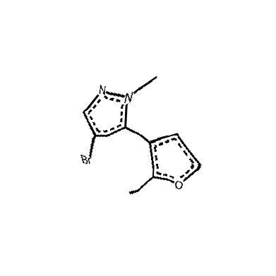 Cc1occc1-c1c(Br)cnn1C